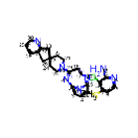 CN1C2=CC=C(Sc3ccnc(N)c3Cl)/C1=N/C=C/C(N1CCC3(CC1)Cc1cccnc1C3)=N\2